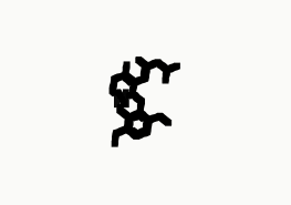 CCc1ccc(CC)c2c1CC1C(/C=C(\C)CC(C)C)=C(C)CCN1C2